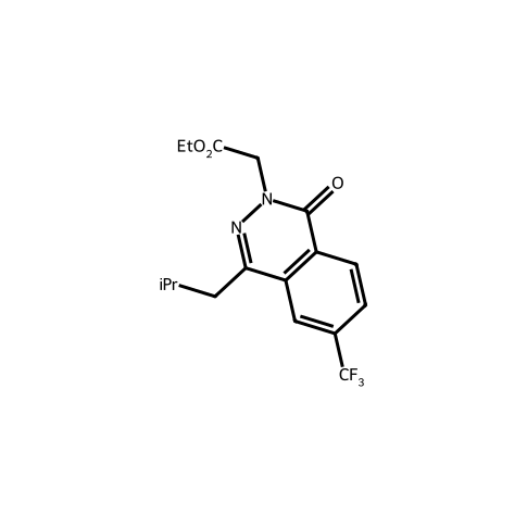 CCOC(=O)Cn1nc(CC(C)C)c2cc(C(F)(F)F)ccc2c1=O